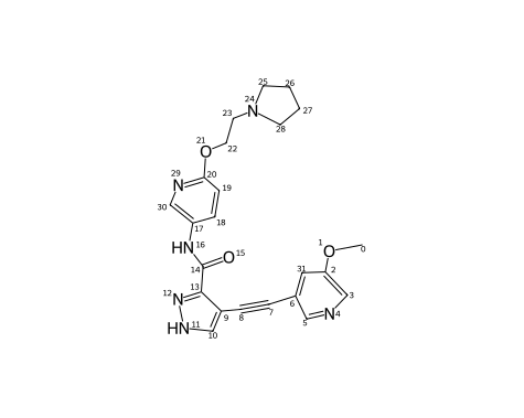 COc1cncc(C#Cc2c[nH]nc2C(=O)Nc2ccc(OCCN3CCCC3)nc2)c1